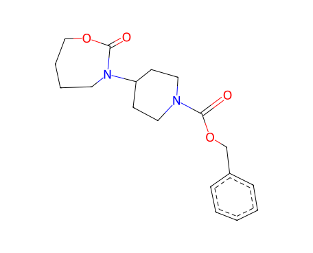 O=C(OCc1ccccc1)N1CCC(N2CCCCOC2=O)CC1